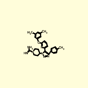 Cc1ccc(-c2nnn(C3CCN(C(=N)N)CC3)c2-c2cccc(Oc3cc(C)cc(C)c3)n2)cc1